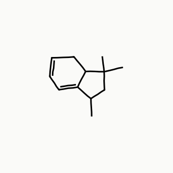 CC1CC(C)(C)C2CC=CC=C12